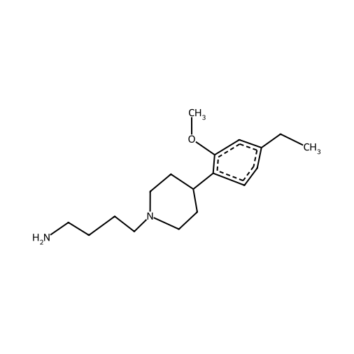 CCc1ccc(C2CCN(CCCCN)CC2)c(OC)c1